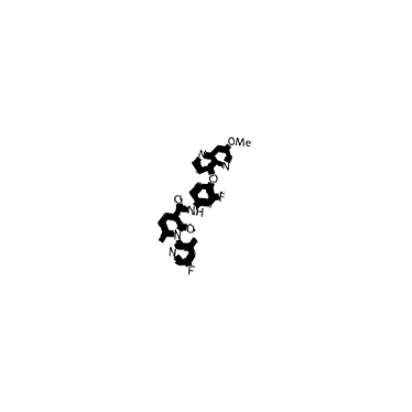 COc1cnc2c(Oc3ccc(NC(=O)c4ccc(C)n(-c5ncc(F)cc5C)c4=O)cc3F)ccnc2c1